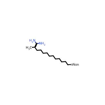 CCCCCCCCCCCCCCCCCCCCC(C)=C(N)N